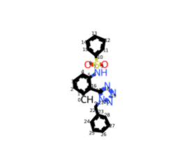 Cc1cccc(NS(=O)(=O)c2ccccc2)c1-c1nnnn1Cc1ccccc1